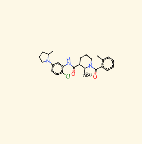 CCCCC1C(C(=O)Nc2cc(N3CCCC3C)ccc2Cl)CCCN1C(=O)c1ccccc1C